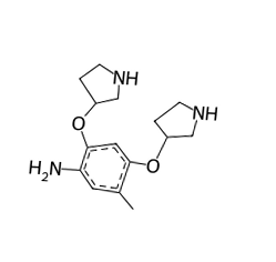 Cc1cc(N)c(OC2CCNC2)cc1OC1CCNC1